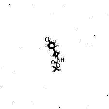 CC(C)(C)OC(=O)NC12CC(c3ccc(Cl)cc3)(C1)C2